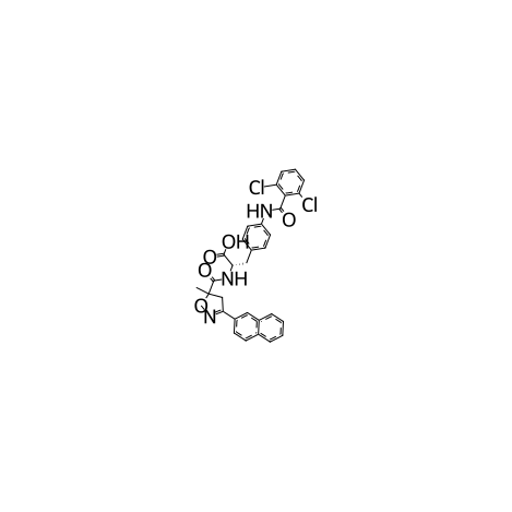 CC1(C(=O)N[C@@H](Cc2ccc(NC(=O)c3c(Cl)cccc3Cl)cc2)C(=O)O)CC(c2ccc3ccccc3c2)=NO1